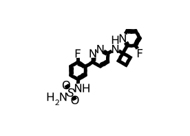 NS(=O)(=O)Nc1ccc(F)c(-c2ccc(NC3(c4ncccc4F)CCC3)nn2)c1